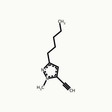 C#Cc1cc(CCCCC)nn1C